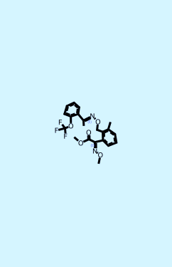 CO/N=C(/C(=O)OC)c1cccc(C)c1CO/N=C(\C)c1ccccc1OC(F)(F)F